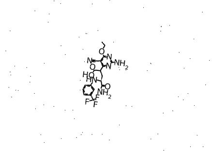 CCOc1nc(N)nc(C(C[C@H](Nc2cccc(C(F)(F)F)c2)C(N)=O)C(=O)O)c1C#N